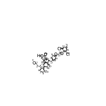 COCCCc1cccc(C)c1-c1ccc(C(Cc2ccc(OCCOc3c(Cl)cc(C)cc3Cl)cc2)CN(C(=O)O)C(C)(C)C)c(C)c1